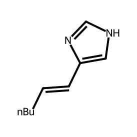 CCCCC=Cc1c[nH]cn1